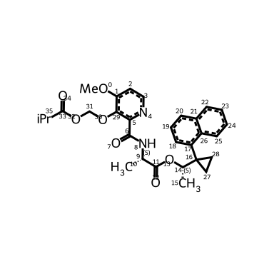 COc1ccnc(C(=O)N[C@@H](C)C(=O)O[C@@H](C)C2(c3cccc4ccccc34)CC2)c1OCOC(=O)C(C)C